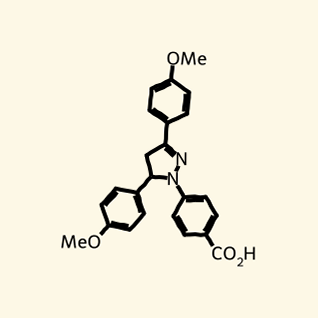 COc1ccc(C2=NN(c3ccc(C(=O)O)cc3)C(c3ccc(OC)cc3)C2)cc1